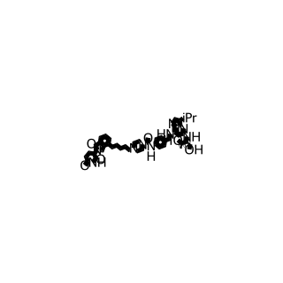 CC(C)c1cnn2c(NCc3ccc(NC(=O)N4CCN(CCCCCc5cccc6c5CN(C5CCC(=O)NC5=O)C6=O)CC4)cc3)cc(N[C@@H](CO)[C@@H](C)O)nc12